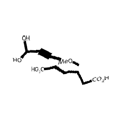 CC#CC(O)O.COC.O=C(O)CCCCC(=O)O